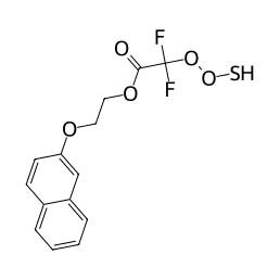 O=C(OCCOc1ccc2ccccc2c1)C(F)(F)OOS